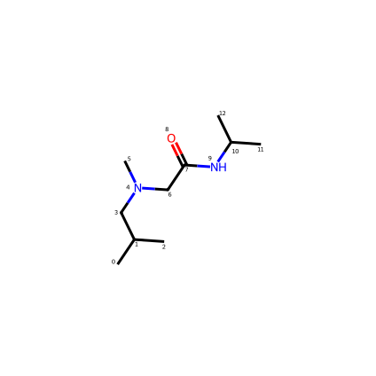 CC(C)CN(C)CC(=O)NC(C)C